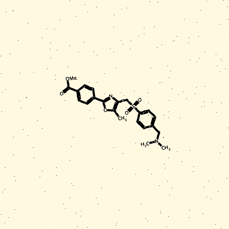 COC(=O)c1ccc(-c2nc(CS(=O)(=O)c3ccc(CN(C)C)cc3)c(C)o2)cc1